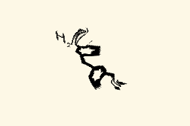 CN(C)Cc1cccc(Cc2cc[c]c(N)c2)c1